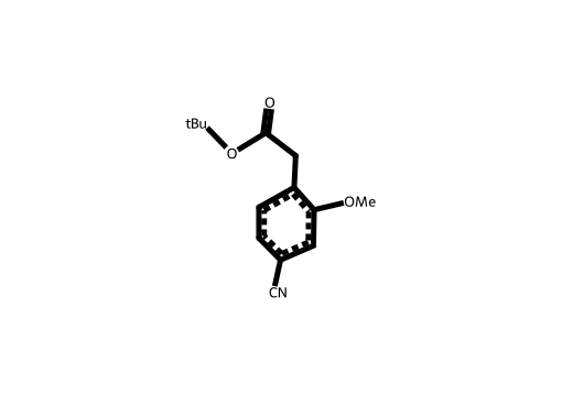 COc1cc(C#N)ccc1CC(=O)OC(C)(C)C